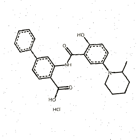 CC1CCCCN1c1ccc(O)c(C(=O)Nc2cc(-c3ccccc3)ccc2C(=O)O)c1.Cl